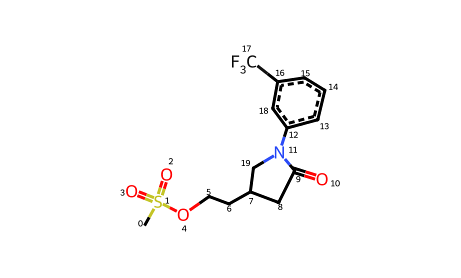 CS(=O)(=O)OCCC1CC(=O)N(c2cccc(C(F)(F)F)c2)C1